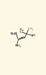 CCCC(C)(C)/C=C(/N)NC